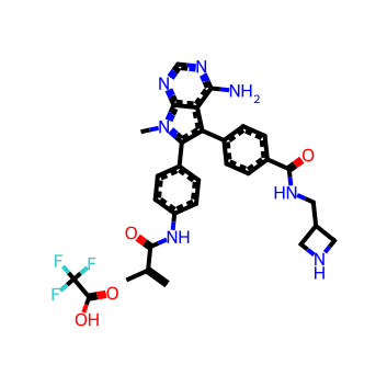 C=C(C)C(=O)Nc1ccc(-c2c(-c3ccc(C(=O)NCC4CNC4)cc3)c3c(N)ncnc3n2C)cc1.O=C(O)C(F)(F)F